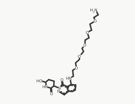 NCCOCCOCCOCCOCCOCCNc1cccc2cnn(C3CCC(O)NC3=O)c(=O)c12